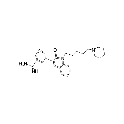 N=C(N)c1cccc(-c2cc3ccccc3n(CCCCCN3CCCCC3)c2=O)c1